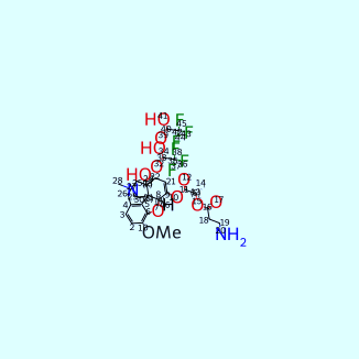 COc1ccc2c3c1O[C@H]1C(OC(=O)[C@H](C)OC(=O)CCN)=CC[C@]4(O)C(C2)N(C)CC[C@]314.O=C(O)C(F)(F)F.O=C(O)C(F)(F)F